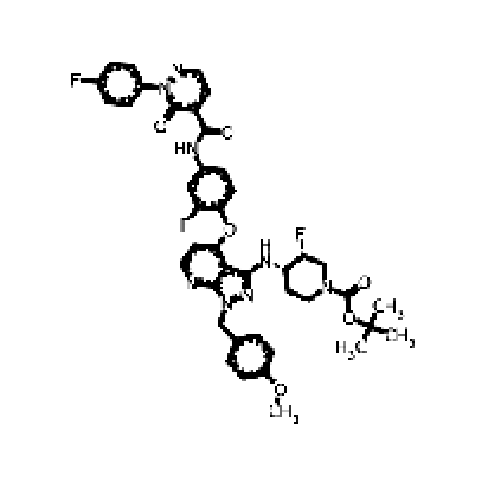 COc1ccc(Cn2nc(N[C@H]3CCN(C(=O)OC(C)(C)C)C[C@H]3F)c3c(Oc4ccc(NC(=O)c5ccnn(-c6ccc(F)cc6)c5=O)cc4F)ccnc32)cc1